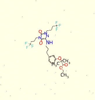 CCOC(=O)C(C)(C)Oc1cccc(CCCNc2nn(CCCC(F)(F)F)c(=O)n(CCCC(F)(F)F)c2=O)c1